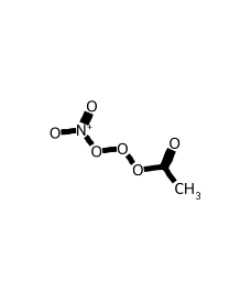 CC(=O)OOO[N+](=O)[O-]